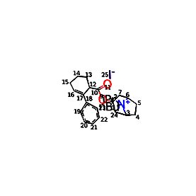 CCCC[N+]1(C(C)C)C2CCC1CC(OC(=O)C1CCCC=C1c1ccccc1)C2.[I-]